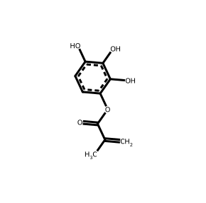 C=C(C)C(=O)Oc1ccc(O)c(O)c1O